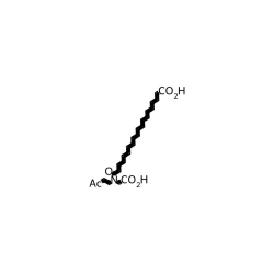 CC(=O)CCN(CC(=O)O)C(=O)CCCCCCCCCCCCCCCCCCC(=O)O